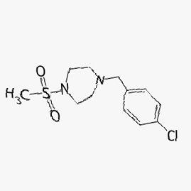 CS(=O)(=O)N1CCN(Cc2ccc(Cl)cc2)CC1